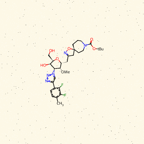 CO[C@@H]1[C@@H](n2cc(-c3ccc(C)c(F)c3F)nn2)[C@@H](O)[C@@H](CO)O[C@@H]1CC1=NO[C@@]2(CCCN(C(=O)OC(C)(C)C)CC2)C1